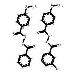 COc1ccc(C(=O)OOC(=O)c2cccc(Br)c2)cc1.COc1ccc(C(=O)OOC(=O)c2ccccc2)cc1